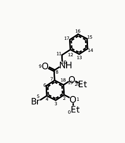 CCOc1cc(Br)cc(C(=O)NCc2ccccc2)c1OCC